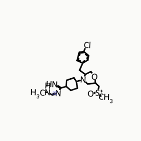 CN/C=N\C(=N)C1CCC(N2CC(C[S+](C)[O-])OCC2Cc2ccc(Cl)cc2)CC1